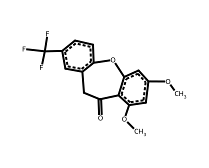 COc1cc(OC)c2c(c1)Oc1ccc(C(F)(F)F)cc1CC2=O